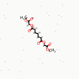 COC(=O)COC(=O)CCCCCC(=O)OCC(=O)OC